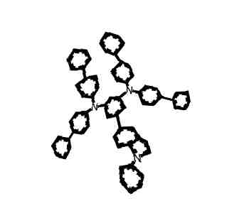 c1ccc(-c2ccc(N(c3ccc(-c4ccccc4)cc3)c3cc(-c4ccc5c(ccn5-c5ccccc5)c4)cc(N(c4ccc(-c5ccccc5)cc4)c4ccc(-c5ccccc5)cc4)c3)cc2)cc1